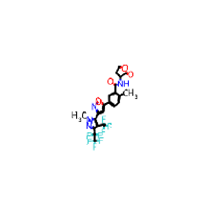 CC1=CC=C(c2cc(-c3c(C(F)(F)F)c(C(F)(F)C(F)(F)F)nn3C)no2)CC1C(=O)NC1CCOC1=O